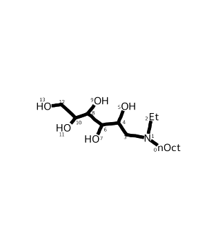 CCCCCCCCN(CC)CC(O)C(O)C(O)C(O)CO